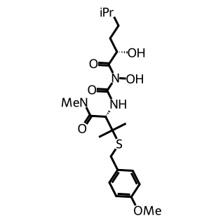 CNC(=O)[C@H](NC(=O)N(O)C(=O)[C@@H](O)CCC(C)C)C(C)(C)SCc1ccc(OC)cc1